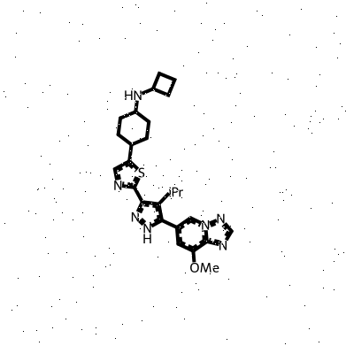 COc1cc(-c2[nH]nc(-c3ncc(C4CCC(NC5CCC5)CC4)s3)c2C(C)C)cn2ncnc12